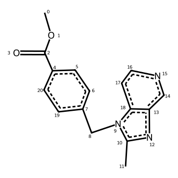 COC(=O)c1ccc(Cn2c(C)nc3cnccc32)cc1